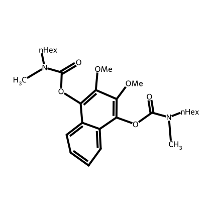 CCCCCCN(C)C(=O)Oc1c(OC)c(OC)c(OC(=O)N(C)CCCCCC)c2ccccc12